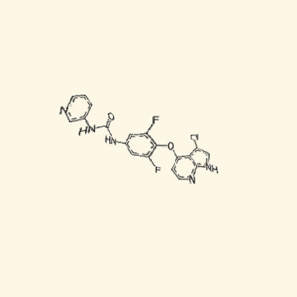 O=C(Nc1cccnc1)Nc1cc(F)c(Oc2ccnc3[nH]cc(Cl)c23)c(F)c1